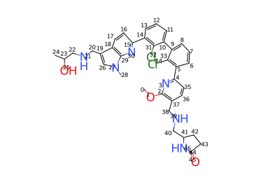 COc1nc(-c2cccc(-c3cccc(-c4ccc5c(CNCC(C)O)cn(C)c5n4)c3Cl)c2Cl)ccc1CNCC1CCC(=O)N1